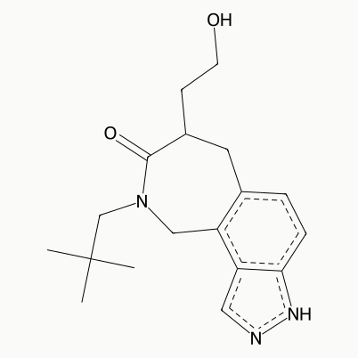 CC(C)(C)CN1Cc2c(ccc3[nH]ncc23)CC(CCO)C1=O